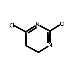 ClC1=NC(Cl)=NCC1